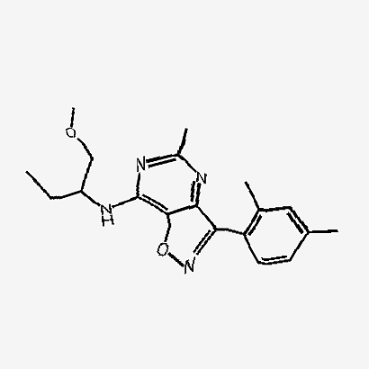 CCC(COC)Nc1nc(C)nc2c(-c3ccc(C)cc3C)noc12